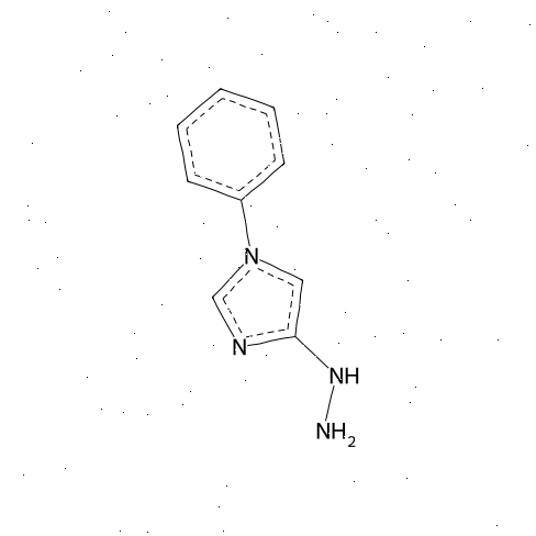 NNc1cn(-c2ccccc2)cn1